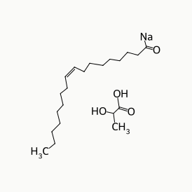 CC(O)C(=O)O.CCCCCCCC/C=C\CCCCCCC[C](=O)[Na]